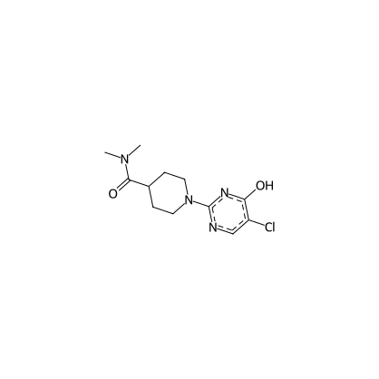 CN(C)C(=O)C1CCN(c2ncc(Cl)c(O)n2)CC1